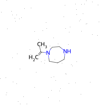 C=C(C)N1CCCNCC1